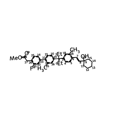 CCC(CC)(c1ccc(C=CC2(O)CCCCC2)c(C)c1)c1ccc(-c2ccc(CC(=O)OC)c(F)c2)c(C)c1